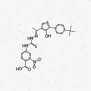 C/C(=N\NC(=S)Nc1ccc(C(=O)O)c([N+](=O)[O-])c1)c1csc(-c2ccc(C(C)(C)C)cc2)c1O